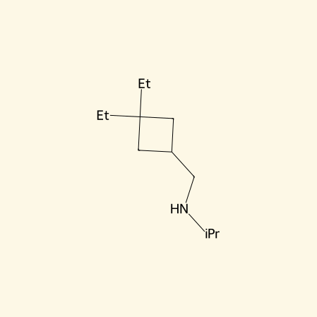 CCC1(CC)CC(CNC(C)C)C1